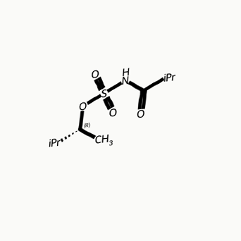 CC(C)C(=O)NS(=O)(=O)O[C@H](C)C(C)C